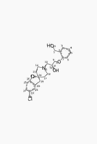 OCc1ccccc1OC[C@@H](O)CN1CCC2(CC1)Cc1cc(Cl)ccc1O2